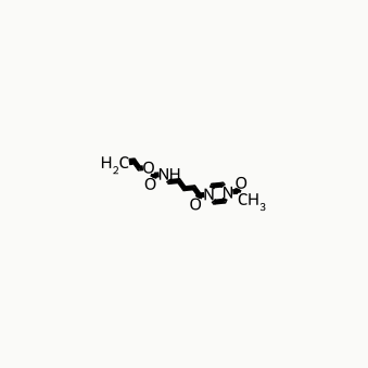 C=CCOC(=O)NCCCCC(=O)N1CCN(C(C)=O)CC1